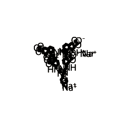 Nc1ccc2cc(S(=O)(=O)[O-])cc(O)c2c1N=Nc1ccc(Nc2nc(Nc3ccc(N=Nc4c(N)ccc5cc(S(=O)(=O)[O-])cc(O)c45)c(S(=O)(=O)[O-])c3)nc(N3CCOCC3)n2)cc1S(=O)(=O)[O-].[Na+].[Na+].[Na+].[Na+]